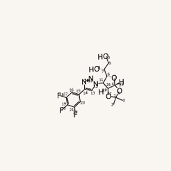 CC1(C)O[C@H]2O[C@@H]([C@H](O)CO)C(n3cc(-c4cc(F)c(F)c(F)c4)nn3)[C@@H]2O1